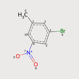 Cc1cc(Br)[c]c([N+](=O)[O-])c1